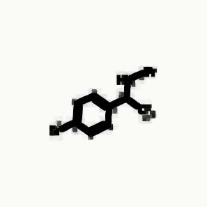 CC(C)NC(c1ccc(Br)cc1)C(F)(F)F